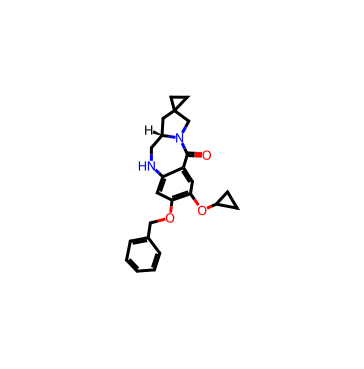 O=C1c2cc(OC3CC3)c(OCc3ccccc3)cc2NC[C@@H]2CC3(CC3)CN12